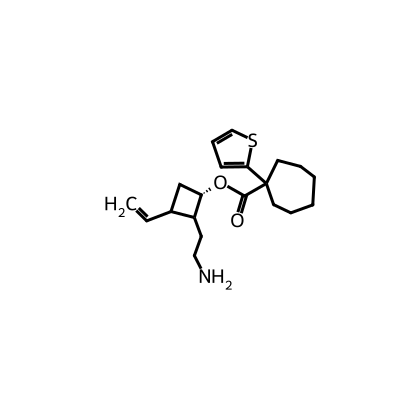 C=CC1C[C@H](OC(=O)C2(c3cccs3)CCCCCC2)C1CCN